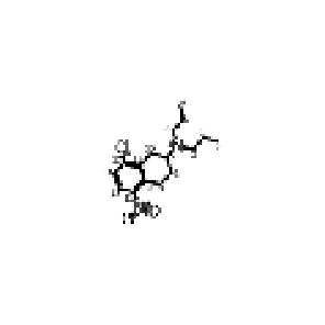 CCCN(CCC)C1CCc2c([N+](=O)[O-])ccc(Cl)c2C1